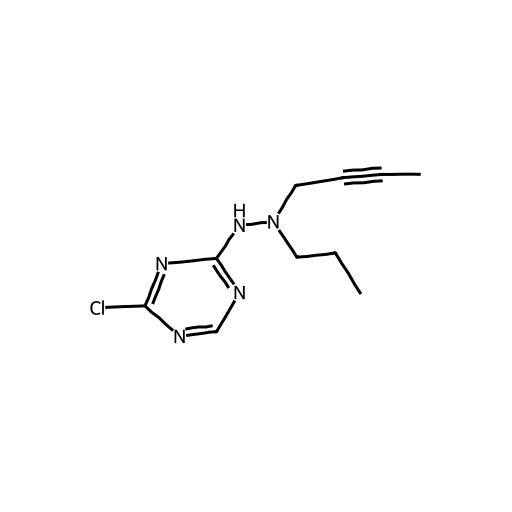 CC#CCN(CCC)Nc1ncnc(Cl)n1